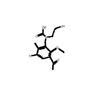 COc1c(C(C)=O)cc(Cl)c(C)c1N(CCO)C(=O)O